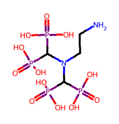 NCCN(C(P(=O)(O)O)P(=O)(O)O)C(P(=O)(O)O)P(=O)(O)O